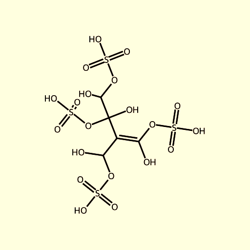 O=S(=O)(O)O/C(O)=C(/C(O)OS(=O)(=O)O)C(O)(OS(=O)(=O)O)C(O)OS(=O)(=O)O